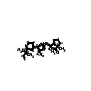 Cc1nc(NC(=O)N2CCC[C@@]2(C)C(N)=O)sc1-c1ccnc(C(C)(C)CF)c1